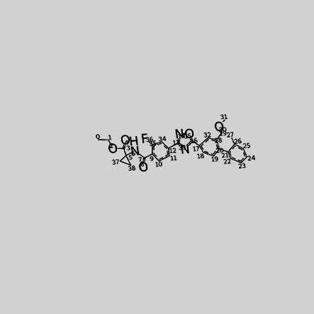 CCOC(=O)C1(NC(=O)c2ccc(-c3noc(-c4ccc(-c5ccccc5C)c(COC)c4)n3)cc2F)CC1